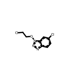 ClCCOn1nnc2ccc(Cl)cc21